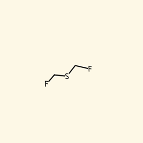 FCSCF